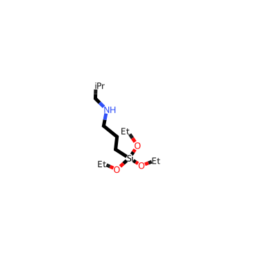 CCO[Si](CCCNCC(C)C)(OCC)OCC